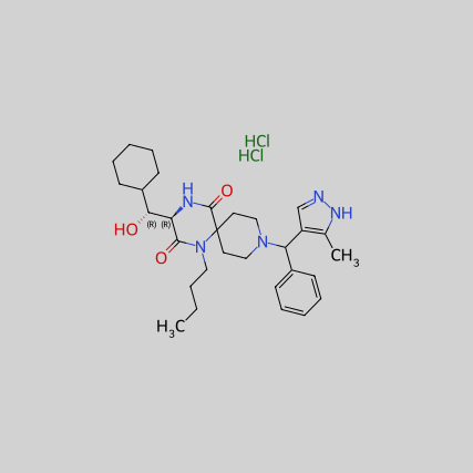 CCCCN1C(=O)[C@@H]([C@H](O)C2CCCCC2)NC(=O)C12CCN(C(c1ccccc1)c1cn[nH]c1C)CC2.Cl.Cl